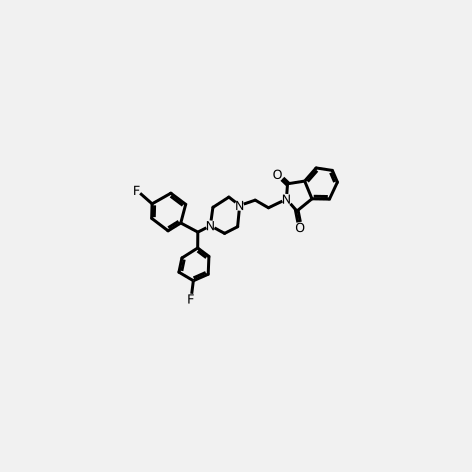 O=C1c2ccccc2C(=O)N1CCN1CCN(C(c2ccc(F)cc2)c2ccc(F)cc2)CC1